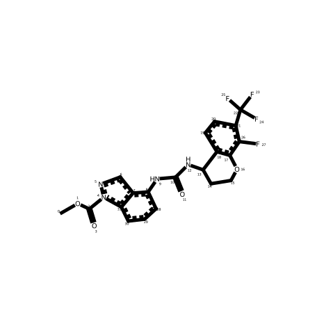 COC(=O)n1ncc2c(NC(=O)NC3CCOc4c3ccc(C(F)(F)F)c4F)cccc21